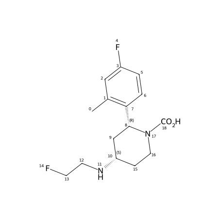 Cc1cc(F)ccc1[C@H]1C[C@@H](NCCF)CCN1C(=O)O